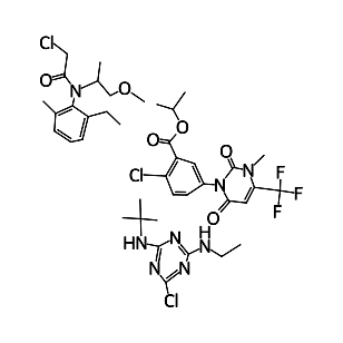 CC(C)OC(=O)c1cc(-n2c(=O)cc(C(F)(F)F)n(C)c2=O)ccc1Cl.CCNc1nc(Cl)nc(NC(C)(C)C)n1.CCc1cccc(C)c1N(C(=O)CCl)C(C)COC